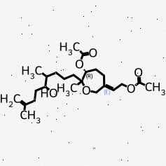 C=C(C)CCC(O)C(C)CCCC1(C)OC/C(=C/COC(C)=O)CC[C@H]1OC(C)=O